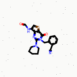 N#Cc1ccccc1Cn1c(N2CCCCC2)nc2c(NC=O)csc2c1=O